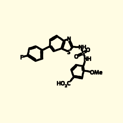 COc1cc(C(=O)O)ccc1NS(=O)(=O)Nc1nc2ccc(-c3ccc(F)cc3)cc2s1